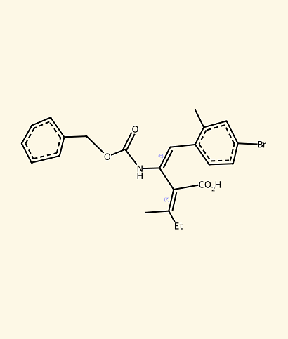 CC/C(C)=C(C(=O)O)/C(=C\c1ccc(Br)cc1C)NC(=O)OCc1ccccc1